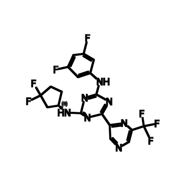 Fc1cc(F)cc(Nc2nc(N[C@@H]3CCC(F)(F)C3)nc(-c3cncc(C(F)(F)F)n3)n2)c1